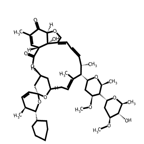 CO[C@H]1CC([C@@H]2/C(C)=C/C[C@@H]3C[C@@H](C[C@]4(C=C[C@H](C)[C@@H](C5CCCCC5)O4)O3)OC(=O)[C@@H]3C=C(C)C(=O)[C@H]4OC/C(=C\C=C\[C@@H]2C)[C@]43O)O[C@@H](C)C1[C@H]1C[C@H](OC)[C@@H](O)[C@H](C)O1